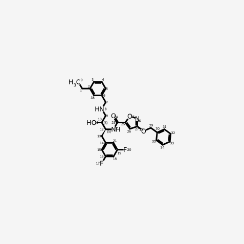 CCc1cccc(CNC[C@H](O)[C@H](Cc2cc(F)cc(F)c2)NC(=O)c2cc(OCc3ccccc3)no2)c1